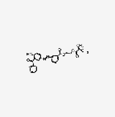 C=C(C)C(=O)OCCOC(=O)c1cccc(/N=N/c2ccc(O)c(C(=O)c3ccccc3)c2)c1